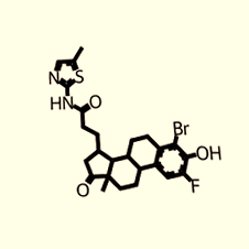 Cc1cnc(NC(=O)CCC2CC(=O)C3(C)CCC4c5cc(F)c(O)c(Br)c5CCC4C23)s1